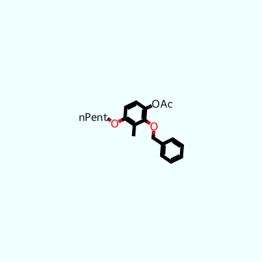 CCCCCOc1ccc(OC(C)=O)c(OCc2ccccc2)c1C